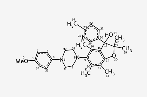 COc1ccc(N2CCN(c3c(C)c(C)c4c(c3C)C(O)(c3ccc(C)nc3)C(C)(C)O4)CC2)cc1